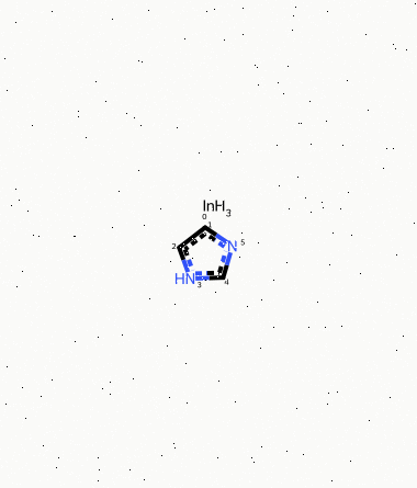 [InH3].c1c[nH]cn1